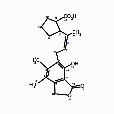 C/C(=C/Cc1c(C)c(C)c2c(c1O)C(=O)OC2)C1CCCC1C(=O)O